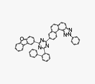 c1ccc(-c2ccccc2-c2nc(-c3ccc4c(ccc5ccc6nn(-c7ccccc7)nc6c54)c3)nc(-c3ccc4oc5ccccc5c4c3)n2)cc1